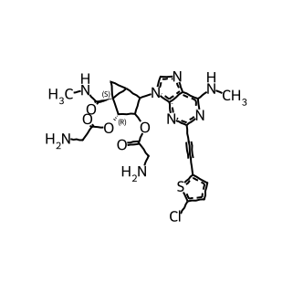 CNC(=O)[C@@]12CC1C(n1cnc3c(NC)nc(C#Cc4ccc(Cl)s4)nc31)C(OC(=O)CN)[C@@H]2OC(=O)CN